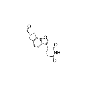 O=C[C@@H]1Cc2ccc3c(C4CCC(=O)NC4=O)coc3c2C1